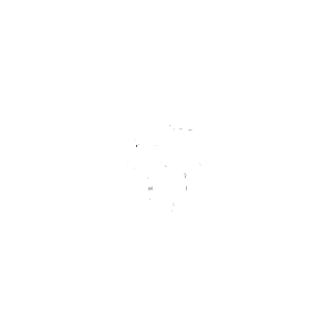 C=c1cncc2c1=C(N(C)C)C(=O)N2